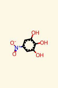 O=[N+]([O-])c1cc(O)c(O)c(O)c1